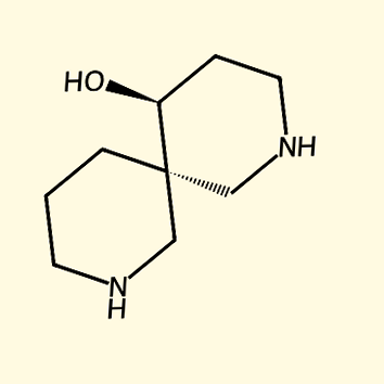 O[C@H]1CCNC[C@]12CCCNC2